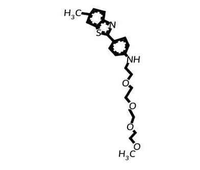 COCCOCCOCCOCCNc1ccc(-c2nc3ccc(C)cc3s2)cc1